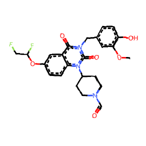 COc1cc(Cn2c(=O)c3cc(OC(F)CF)ccc3n(C3CCN(C=O)CC3)c2=O)ccc1O